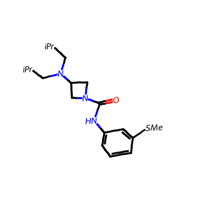 CSc1cccc(NC(=O)N2CC(N(CC(C)C)CC(C)C)C2)c1